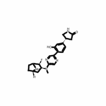 CN(c1cnc(-c2ccc([C@@H]3CNC(=O)C3)cc2O)cn1)[C@H]1C[C@@H]2CCC(N2)[C@H]1F